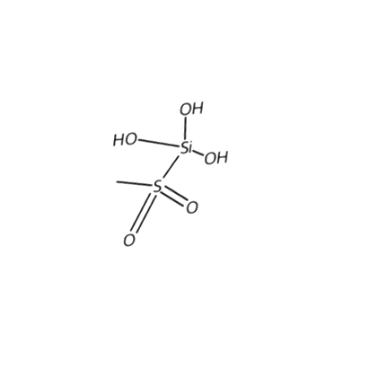 CS(=O)(=O)[Si](O)(O)O